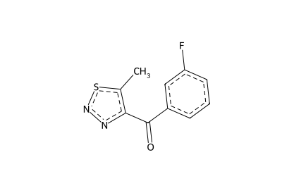 Cc1snnc1C(=O)c1cccc(F)c1